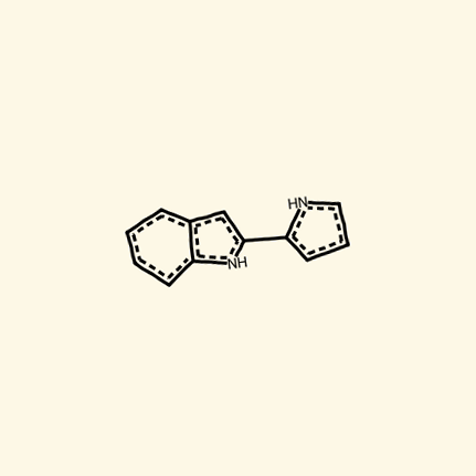 c1c[nH]c(-c2cc3ccccc3[nH]2)c1